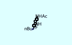 CCCC/C=C\c1ccc2c(c1F)NC1c3ccc(NC(C)=O)cc3CC21